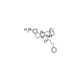 Nc1ccc2c(c1)CCc1nc(NC(=O)CCCc3ccccc3)c(CC34CC5CC(CC(C5)C3)C4)nc1-2